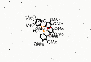 COc1ccc(P(c2ccc(OC)c(OC)c2OC)C(C)P(c2ccc(OC)c(OC)c2OC)c2ccc(OC)c(OC)c2OC)c(OC)c1OC